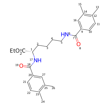 CCOC(=O)[C@H](CCCCNC(=O)c1ccc(C)c(C)c1)NC(=O)c1ccc(C)c(C)c1